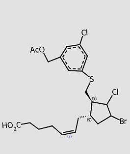 CC(=O)OCc1cc(Cl)cc(SC[C@H]2C(Cl)C(Br)C[C@@H]2C/C=C\CCCC(=O)O)c1